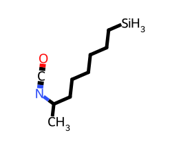 CC(CCCCCC[SiH3])N=C=O